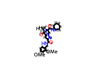 COc1cccc(CNC(=O)c2cc3n(n2)CC(C)(C(=O)NC2CCCCCC2)N(C)C3=O)c1OC